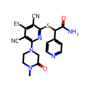 CCc1c(C#N)c(SC(C(N)=O)c2ccncc2)nc(N2CCN(C)C(=O)C2)c1C#N